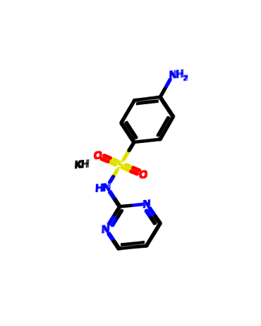 Nc1ccc(S(=O)(=O)Nc2ncccn2)cc1.[KH]